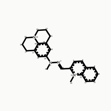 CN(/N=C/c1ccc2ccccc2[n+]1C)c1cc2c3c(c1)CCCN3CCC2